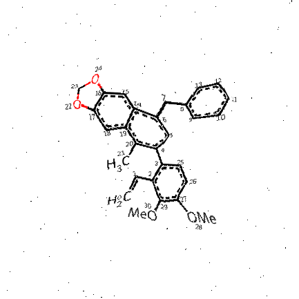 C=Cc1c(-c2cc(Cc3ccccc3)c3cc4c(cc3c2C)OCO4)ccc(OC)c1OC